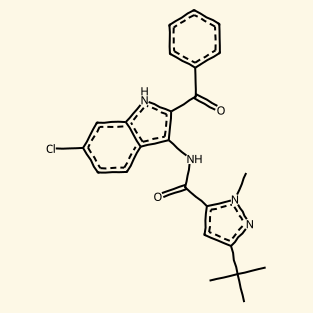 Cn1nc(C(C)(C)C)cc1C(=O)Nc1c(C(=O)c2ccccc2)[nH]c2cc(Cl)ccc12